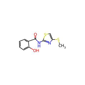 CSc1csc(NC(=O)c2ccccc2O)n1